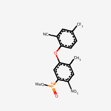 CO[PH](=O)c1cc(Oc2ccc(C(F)(F)F)cc2C#N)c(C)cc1[N+](=O)[O-]